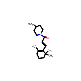 CC1=C(/C=C/C(=O)N2CCC(C(=O)O)CC2)C(C)(C)CCC1